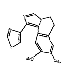 COc1cc2c(cc1OC)-c1c(-c3cscn3)ncn1CC2